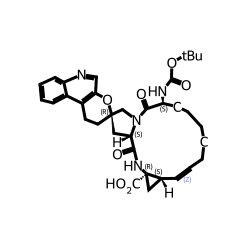 CC(C)(C)OC(=O)N[C@H]1CCCCC/C=C\[C@@H]2C[C@@]2(C(=O)O)NC(=O)[C@@H]2C[C@]3(CCc4c(cnc5ccccc45)O3)CN2C1=O